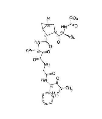 CCC[C@H](NC(=O)[C@@H]1C2C[C@H]2CN1C(=O)[C@@H](NC(=O)OCC(C)C)C(C)(C)C)C(=O)C(=O)NCC(=O)N[C@H](C(=O)N(C)C)c1ccccc1